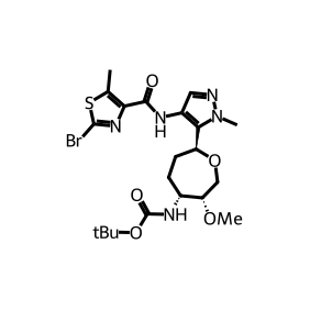 CO[C@H]1CO[C@H](c2c(NC(=O)c3nc(Br)sc3C)cnn2C)CC[C@H]1NC(=O)OC(C)(C)C